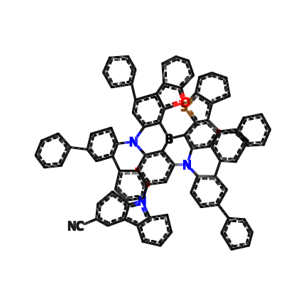 N#Cc1ccc2c(c1)c1ccccc1n2-c1cc2c3c(c1)N(c1ccc(-c4ccccc4)cc1-c1ccccc1)c1cc(-c4ccccc4)c4c(sc5ccccc54)c1B3c1c(cc(-c3ccccc3)c3c1oc1ccccc13)N2c1ccc(-c2ccccc2)cc1-c1ccccc1